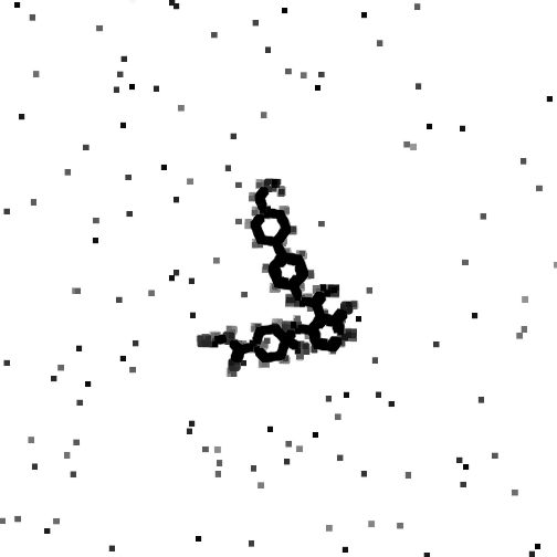 CCC1(Nc2cc[nH]c(=O)c2C(=N)Nc2ccc(C3CCN(CC(F)(F)F)CC3)cc2)CCN(C(=O)OC(C)(C)C)CC1